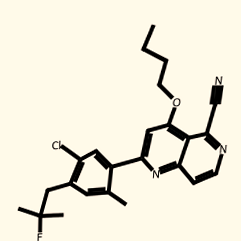 CCCCOc1cc(-c2cc(Cl)c(CC(C)(C)F)cc2C)nc2ccnc(C#N)c12